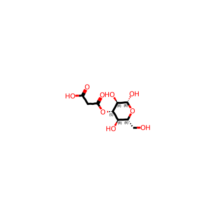 O=C(O)CC(=O)O[C@@H]1[C@@H](O)[C@H](O)O[C@H](CO)[C@H]1O